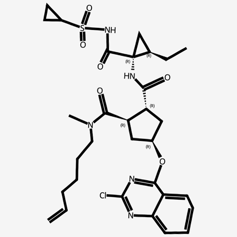 C=CCCCCN(C)C(=O)[C@@H]1C[C@H](Oc2nc(Cl)nc3ccccc23)C[C@H]1C(=O)N[C@]1(C(=O)NS(=O)(=O)C2CC2)C[C@H]1CC